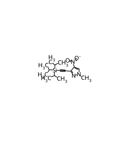 CC(C)[Si](C#Cc1nn(C)cc1[N+](=O)[O-])(C(C)C)C(C)C